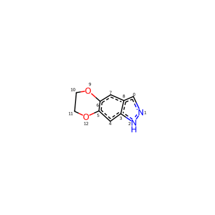 c1n[nH]c2cc3c(cc12)OCCO3